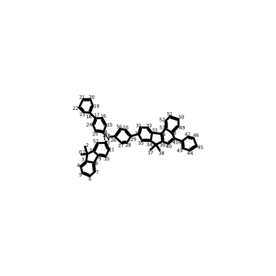 CC1(C)c2ccccc2-c2ccc(N(c3ccc(-c4ccccc4)cc3)c3ccc(-c4ccc5c(c4)C(C)(C)c4cc(-c6ccccc6)c6ccccc6c4-5)cc3)cc21